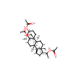 CC(=O)OC[C@]12CC[C@H](OC(C)=O)C[C@@H]1CC[C@H]1C3=CC[C@H](C(C)OC(C)=O)[C@@]3(C)CC[C@@H]12